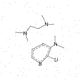 CN(C)CCN(C)C.[Li][c]1bcccc1N(C)C